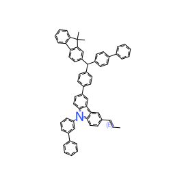 C/C=C/c1ccc2c(c1)c1cc(-c3ccc(C(c4ccc(-c5ccccc5)cc4)c4ccc5c(c4)C(C)(C)c4ccccc4-5)cc3)ccc1n2-c1cccc(-c2ccccc2)c1